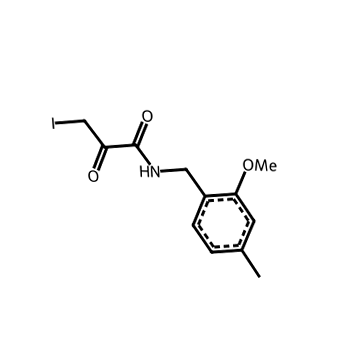 COc1cc(C)ccc1CNC(=O)C(=O)CI